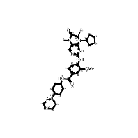 CC[C@@H]1C(=O)N(C)c2cnc(Nc3ccc(C(=O)NC4CCC(N5CCNCC5)CC4)cc3OC)nc2N1C1CCCC1